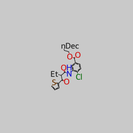 CCCCCCCCCCCCOC(=O)c1ccc(Cl)c(NC(=O)C(CC)C(=O)c2cccs2)c1